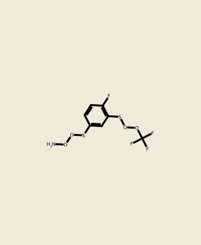 NOOSc1ccc(F)c(SOOC(F)(F)F)c1